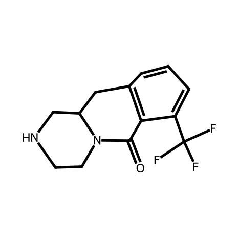 O=C1c2c(cccc2C(F)(F)F)CC2CNCCN12